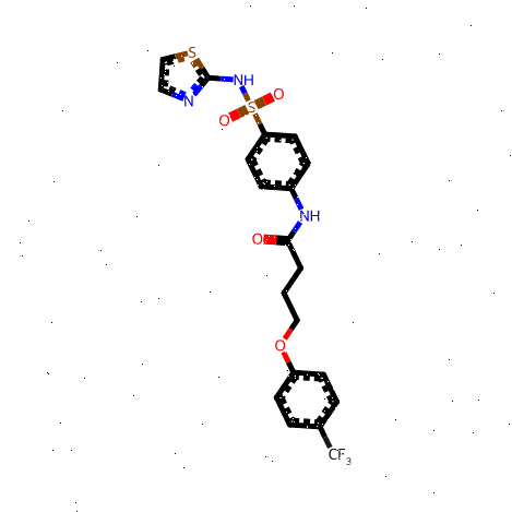 O=C(CCCOc1ccc(C(F)(F)F)cc1)Nc1ccc(S(=O)(=O)Nc2nccs2)cc1